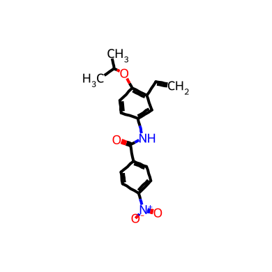 C=Cc1cc(NC(=O)c2ccc([N+](=O)[O-])cc2)ccc1OC(C)C